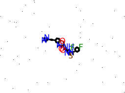 CN1C(=O)[C@@H](NC(=O)c2cn3c(-c4ccc(F)cc4F)csc3n2)COc2ccc(C#Cc3cn(C)cn3)cc21